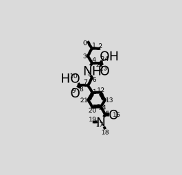 CC(C)CC(NCC(C(=O)O)c1ccc(C(=O)N(C)C)cc1)C(=O)O